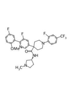 COc1ccc(F)cc1-c1ncc(C2(C(=O)N[C@H]3CCN(C)C3)CCN(c3ccc(C(F)(F)F)cc3F)CC2)cc1F